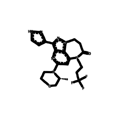 C[C@@H]1COCCN1c1cc2c3c(n1)c(-c1cc[nH]n1)nn3CCC(=O)N2CCC(F)(F)F